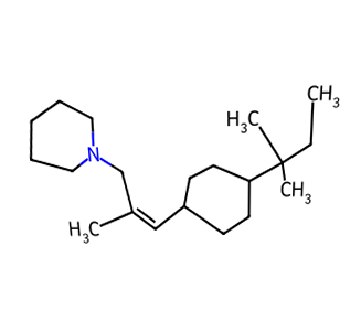 CCC(C)(C)C1CCC(C=C(C)CN2CCCCC2)CC1